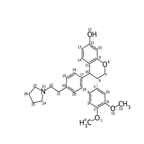 COc1ccc([C@H]2COc3cc(O)ccc3C2c2ccc(CCN3CCCC3)cc2)cc1OC